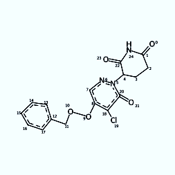 O=C1CCC(n2ncc(OOCc3ccccc3)c(Cl)c2=O)C(=O)N1